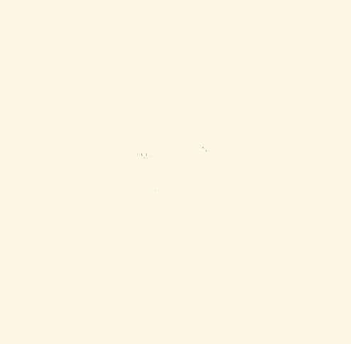 CSc1cnccc1C(=O)O